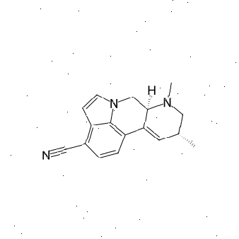 C[C@@H]1C=C2c3ccc(C#N)c4ccn(c34)C[C@H]2N(C)C1